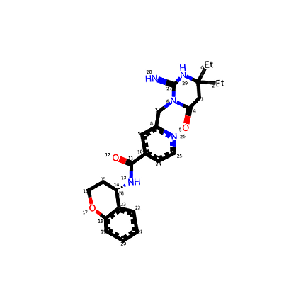 CCC1(CC)CC(=O)N(Cc2cc(C(=O)N[C@H]3CCOc4ccccc43)ccn2)C(=N)N1